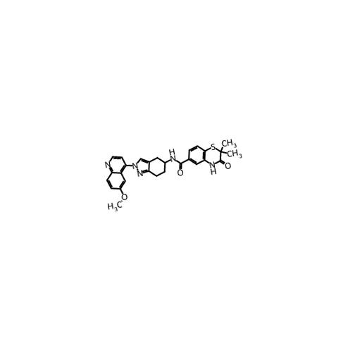 COc1ccc2nccc(-n3cc4c(n3)CCC(NC(=O)c3ccc5c(c3)NC(=O)C(C)(C)S5)C4)c2c1